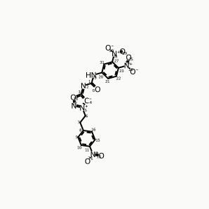 O=C(/N=c1\[cH-][n+](CCc2ccc([N+](=O)[O-])cc2)no1)Nc1ccc([N+](=O)[O-])c([N+](=O)[O-])c1